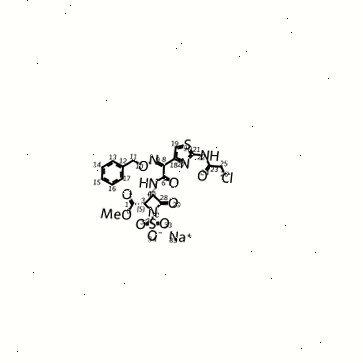 COC(=O)[C@@H]1[C@H](NC(=O)C(=NOCc2ccccc2)c2csc(NC(=O)CCl)n2)C(=O)N1S(=O)(=O)[O-].[Na+]